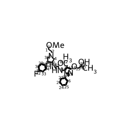 COCCN1C[C@@H](NC(=O)Nc2c(C)c(OC[C@H](C)O)nn2-c2ccccc2)[C@H](c2ccc(F)cc2)C1